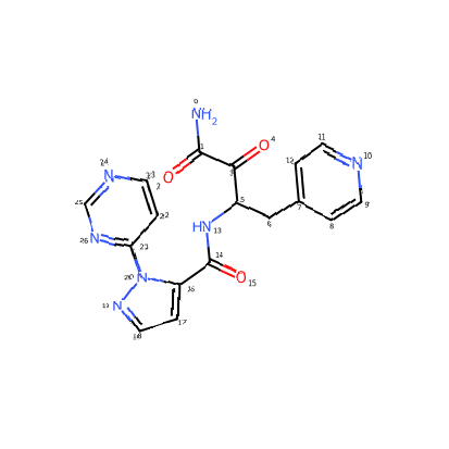 NC(=O)C(=O)C(Cc1ccncc1)NC(=O)c1ccnn1-c1ccncn1